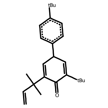 C=CC(C)(C)C1=CC(c2ccc(C(C)(C)C)cc2)C=C(C(C)(C)C)C1=O